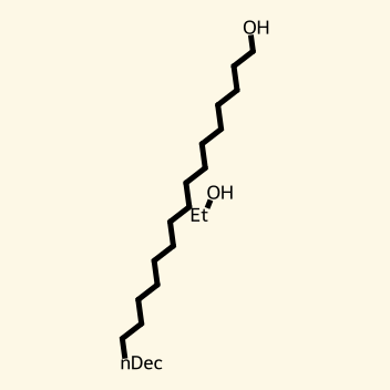 CCCCCCCCCCCCCCCCCCCCCCCCCCO.CCO